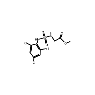 COC(=O)CNS(=O)(=O)Nc1c(Cl)cc(Cl)cc1Cl